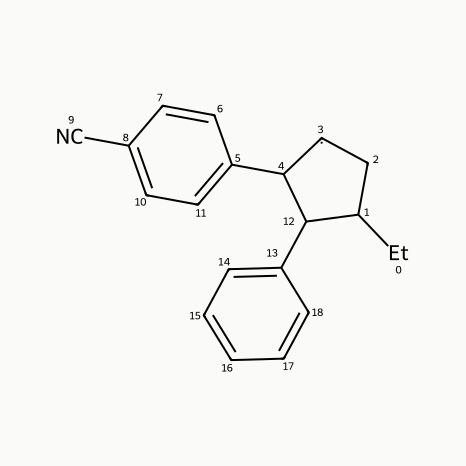 [CH2]CC1C[CH]C(c2ccc(C#N)cc2)C1c1ccccc1